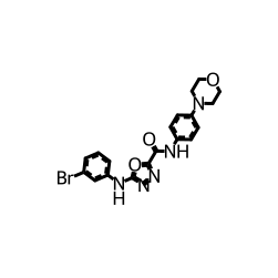 O=C(Nc1ccc(N2CCOCC2)cc1)c1nnc(Nc2cccc(Br)c2)o1